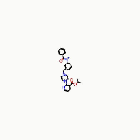 CC(C)OC(=O)c1cccnc1N1CCN(Cc2cccc(N(C)C(=O)c3ccccc3)c2)CC1